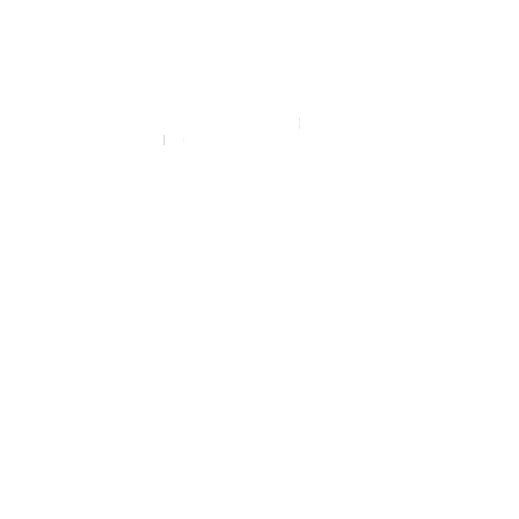 CC1Cc2cc(-c3cccs3)ccc2C1C